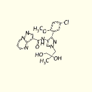 COc1ccc(Cl)cc1-c1nn(CC(C)(O)CO)cc1NC(=O)c1cnn2cccnc12